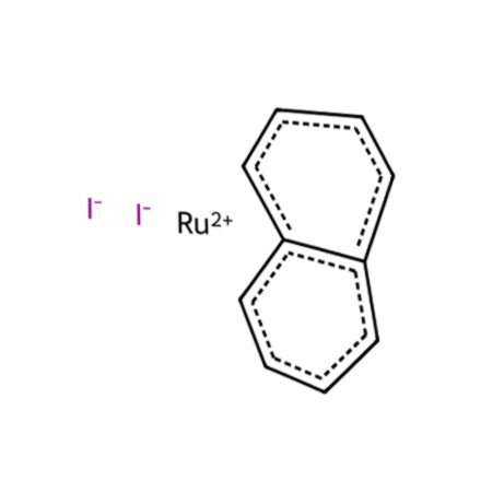 [I-].[I-].[Ru+2].c1ccc2ccccc2c1